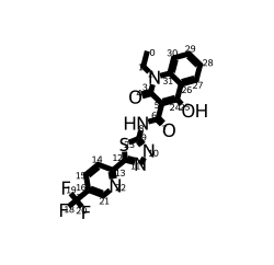 CCn1c(=O)c(C(=O)Nc2nnc(-c3ccc(C(F)(F)F)cn3)s2)c(O)c2ccccc21